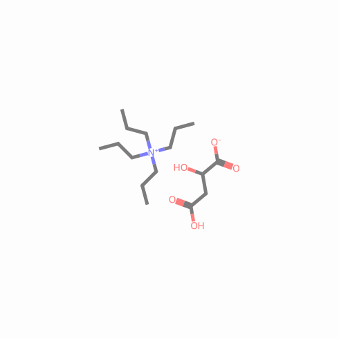 CCC[N+](CCC)(CCC)CCC.O=C(O)CC(O)C(=O)[O-]